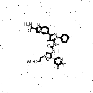 COCCN1C[C@@H](NC(=O)Nc2c(C)c(-c3ccc4nc(C(N)=O)cn4c3)nn2-c2ccccc2)[C@H](c2cnc(F)c(F)c2)O1